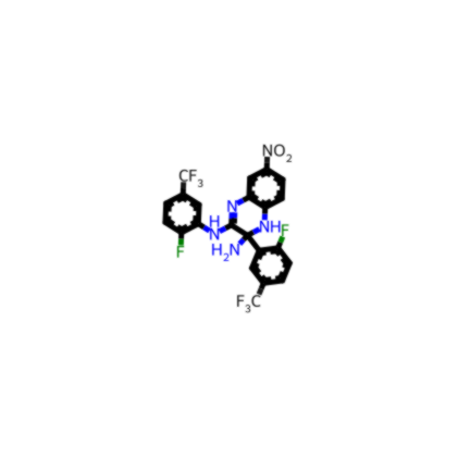 NC1(c2cc(C(F)(F)F)ccc2F)Nc2ccc([N+](=O)[O-])cc2N=C1Nc1cc(C(F)(F)F)ccc1F